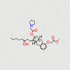 CCCCC[C@@H](O)CC[C@@H]1[C@H]2Cc3cccc(OCC(=O)OC)c3C[C@H]2C[C@H]1OC(=O)CN1CCCC1